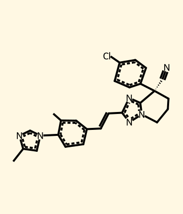 Cc1cn(-c2ccc(/C=C/c3nc4n(n3)CCC[C@]4(C#N)c3ccc(Cl)cc3)cc2C)cn1